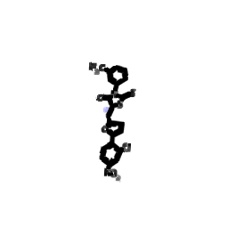 O=C1/C(=C/c2ccc(-c3ccc([N+](=O)[O-])cc3Cl)o2)SC(=S)N1c1cccc(C(F)(F)F)c1